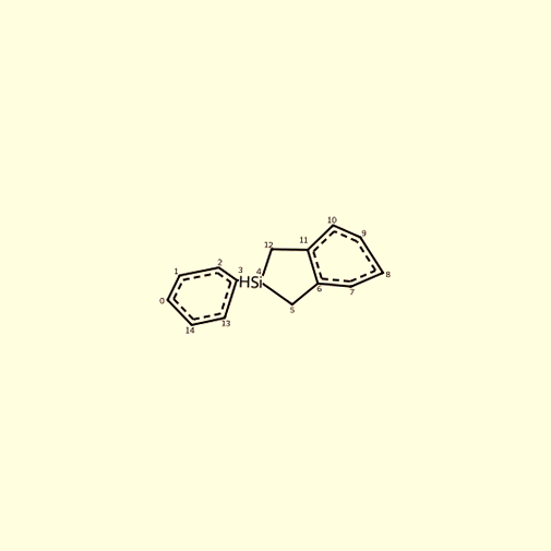 c1ccc([SiH]2Cc3ccccc3C2)cc1